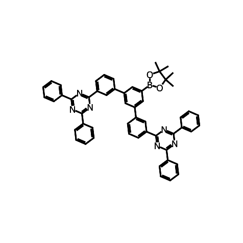 CC1(C)OB(c2cc(-c3cccc(-c4nc(-c5ccccc5)nc(-c5ccccc5)n4)c3)cc(-c3cccc(-c4nc(-c5ccccc5)nc(-c5ccccc5)n4)c3)c2)OC1(C)C